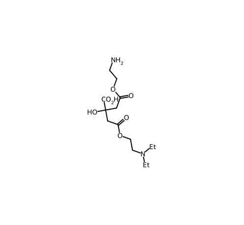 CCN(CC)CCOC(=O)CC(O)(CC(=O)OCCN)C(=O)O